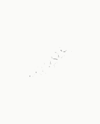 CCCCC1CCC2CC(c3ccc(-c4ccc(C(F)(F)F)c(F)c4)cc3)CCC2C1